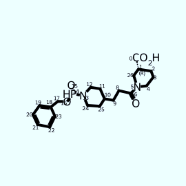 O=C(O)[C@@H]1CCCN(C(=O)CCC2CCN([PH](=O)OCc3ccccc3)CC2)C1